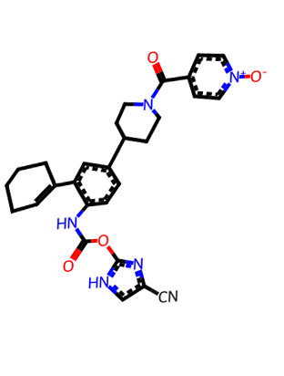 N#Cc1c[nH]c(OC(=O)Nc2ccc(C3CCN(C(=O)c4cc[n+]([O-])cc4)CC3)cc2C2=CCCCC2)n1